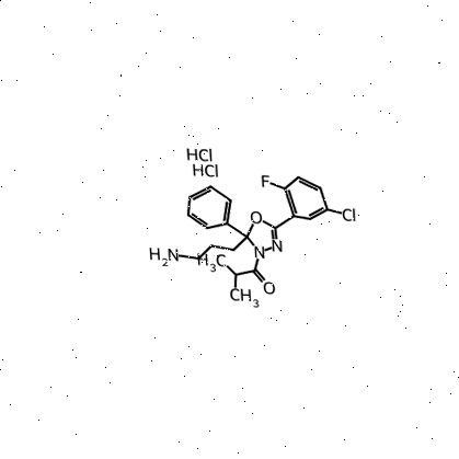 CC(C)C(=O)N1N=C(c2cc(Cl)ccc2F)OC1(CCCN)c1ccccc1.Cl.Cl